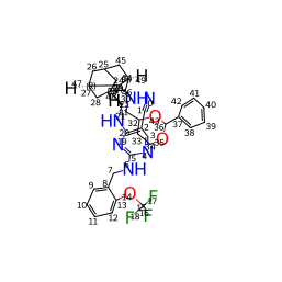 N#Cc1cnc(NCc2ccccc2OC(F)(F)F)nc1NC[C@]12CC3C[C@H](C1)[C@@H](NCC1CCOC(c4ccccc4)O1)[C@@H](C3)C2